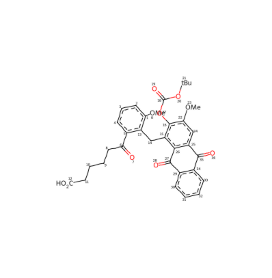 COc1cccc(C(=O)CCCCC(=O)O)c1Cc1c(OC(=O)OC(C)(C)C)c(OC)cc2c1C(=O)c1ccccc1C2=O